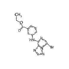 CCOC(=O)c1cccc(Nc2ncc(Br)n3ncnc23)c1